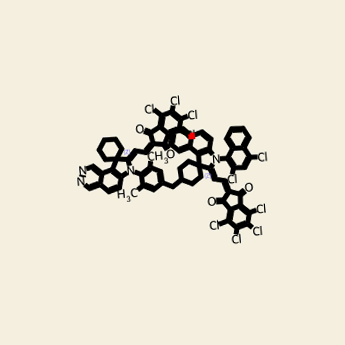 Cc1cc(CC2CCC3(CC2)/C(=C/C=C2C(=O)c4c(Cl)c(Cl)c(Cl)c(Cl)c4C2=O)N(c2c(Cl)cc(Cl)c4ccccc24)c2ccc4ccccc4c23)cc(C)c1N1/C(=C\C=C2C(=O)c3c(Cl)c(Cl)c(Cl)c(Cl)c3C2=O)C2(CCCCC2)c2c1ccc1cnncc21